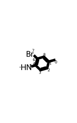 Cc1ccc([NH])c(Br)c1